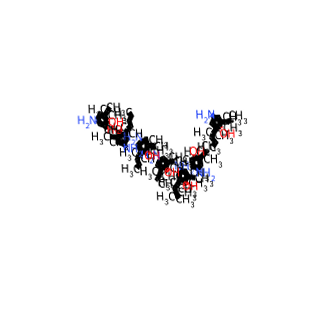 CC(C)(C)CC(C)(C)c1cc(N)cc(C(C)(C)C)c1O.CCC(C)(C)c1cc(N)cc(C(C)(C)C)c1O.CCC(C)(C)c1cc(N)cc(C)c1O.CCCC(C)(C)c1cc(N)cc(C(C)(C)C)c1O.CCCC(C)(C)c1cc(N)cc(C(C)(C)CC)c1O.CCCCC(C)(C)c1cc(N)cc(C(C)(C)C)c1O.Cc1cc(N)cc(C(C)(C)C)c1O